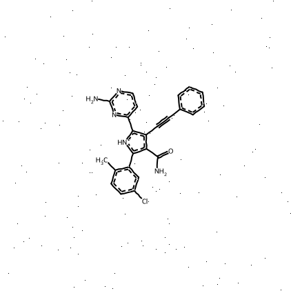 Cc1ccc(Cl)cc1-c1[nH]c(-c2ccnc(N)n2)c(C#Cc2ccccc2)c1C(N)=O